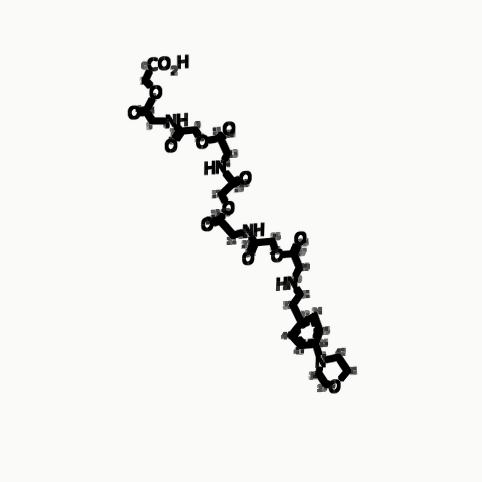 O=C(O)COC(=O)CNC(=O)COC(=O)CNC(=O)COC(=O)CNC(=O)COC(=O)CNCCc1ccc(N2CCOCC2)cc1